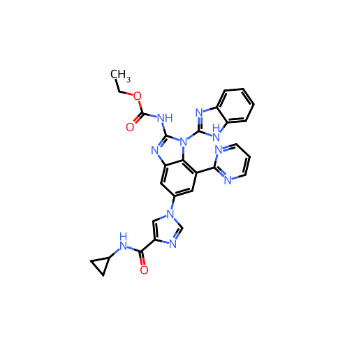 CCOC(=O)Nc1nc2cc(-n3cnc(C(=O)NC4CC4)c3)cc(-c3ncccn3)c2n1-c1nc2ccccc2[nH]1